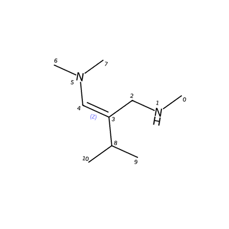 CNC/C(=C\N(C)C)C(C)C